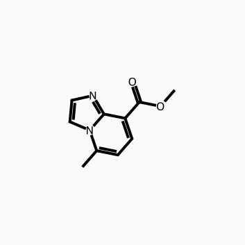 COC(=O)c1ccc(C)n2ccnc12